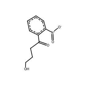 O=C(CCCO)c1ccccc1[N+](=O)[O-]